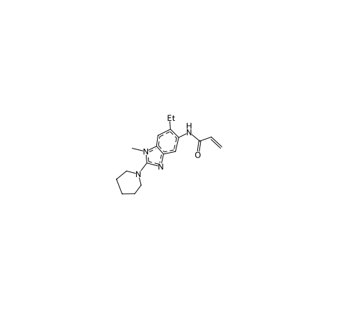 C=CC(=O)Nc1cc2nc(N3CCCCC3)n(C)c2cc1CC